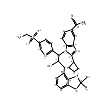 CCS(=O)(=O)c1ccc(C(C(O)Cc2cccc3c2OC(F)(F)O3)n2c(C3CCC3)nc3cc(C(N)=O)ccc32)nc1